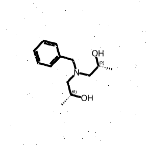 C[C@@H](O)CN(Cc1ccccc1)C[C@@H](C)O